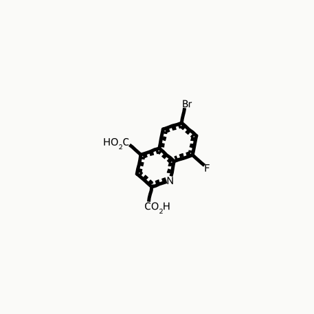 O=C(O)c1cc(C(=O)O)c2cc(Br)cc(F)c2n1